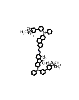 CC1(C)c2cc(/C=C/c3ccc4c(ccc5cc(N(c6ccccc6)c6cccc(-c7ccc([Si](C)(C)C)cc7)c6)ccc54)c3)ccc2-c2ccc(N(c3ccccc3)c3cccc(-c4ccc([Si](C)(C)C)cc4)c3)cc21